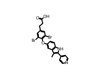 Cc1c(-c2ccncc2)[nH]c2ccc(Oc3c(Br)cc(CCC(=O)O)cc3Br)cc12